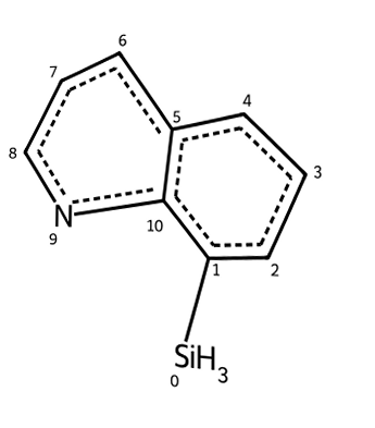 [SiH3]c1cccc2cccnc12